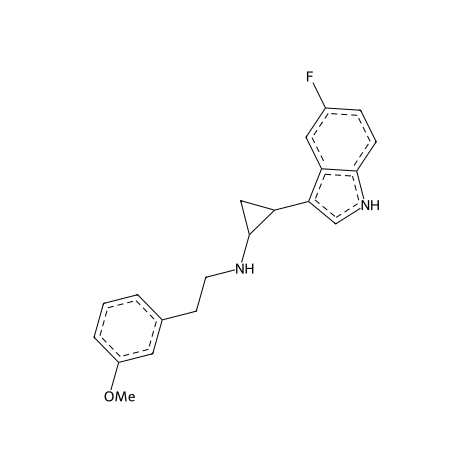 COc1cccc(CCNC2CC2c2c[nH]c3ccc(F)cc23)c1